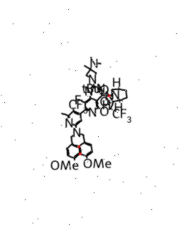 COc1ccc(CN(Cc2ccc(OC)cc2)c2cc(-c3nc4c5c(nc(N6CC(C)(N(C)C)C6)nc5c3F)N3C[C@H]5CC[C@@H]([C@H]3[C@H](C(F)(F)F)O4)N5C(=O)OC(C)(C)C)c(C(F)(F)F)c(C)n2)cc1